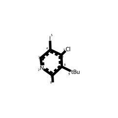 Cc1ncc(I)c(Cl)c1C(C)(C)C